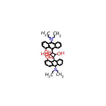 CCN(CC)c1c2ccccc2c(C2C(O)C(c3c4ccccc4c(N(CC)CC)c4cccc(O)c34)C2O)c2c(O)cccc12